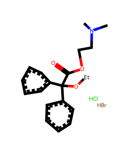 Br.CCOC(C(=O)OCCN(C)C)(c1ccccc1)c1ccccc1.Cl